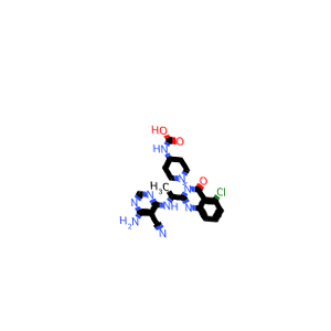 CC(Nc1ncnc(N)c1C#N)c1nc2cccc(Cl)c2c(=O)n1N1CCC(NC(=O)O)CC1